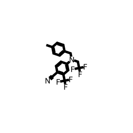 Cc1ccc(CN(CC(F)(F)F)c2ccc(C#N)c(C(F)(F)F)c2)cc1